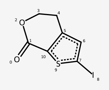 O=C1OCCc2cc(I)sc21